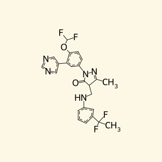 CC1=NN(c2ccc(OC(F)F)c(-c3cncnc3)c2)C(=O)C1CNc1cccc(C(C)(F)F)c1